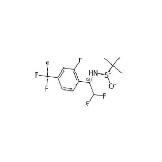 CC(C)(C)[S+]([O-])N[C@@H](c1ccc(C(F)(F)F)cc1F)C(F)F